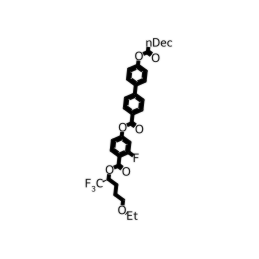 CCCCCCCCCCC(=O)Oc1ccc(-c2ccc(C(=O)Oc3ccc(C(=O)O[C@H](CCCOCC)C(F)(F)F)c(F)c3)cc2)cc1